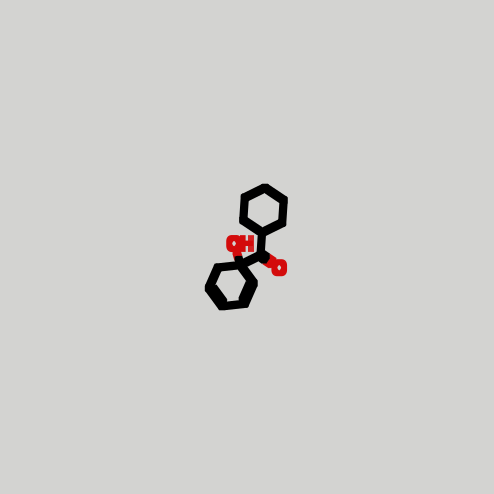 O=C(C1CCCCC1)C1(O)C=CC=CC1